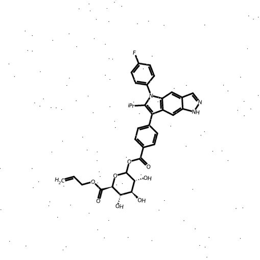 C=CCOC(=O)[C@H]1OC(OC(=O)c2ccc(-c3c(C(C)C)n(-c4ccc(F)cc4)c4cc5cn[nH]c5cc34)cc2)[C@H](O)[C@@H](O)[C@@H]1O